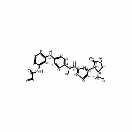 C=CC(=O)Nc1cccc(Nc2ccc([C@H](C)Nc3nccc(N4C(=O)OC[C@@H]4C(C)C)n3)cc2)c1